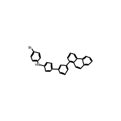 Brc1ccc(Nc2ccc(-c3cccc(-c4cccc5c4ccc4ccccc45)c3)cc2)cc1